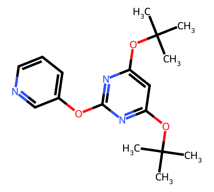 CC(C)(C)Oc1cc(OC(C)(C)C)nc(Oc2cccnc2)n1